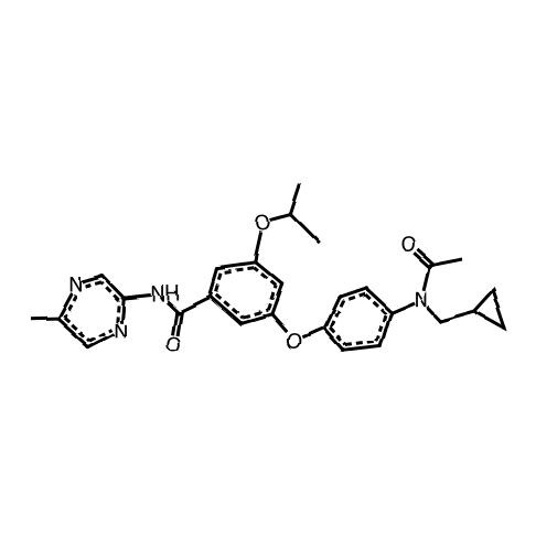 CC(=O)N(CC1CC1)c1ccc(Oc2cc(OC(C)C)cc(C(=O)Nc3cnc(C)cn3)c2)cc1